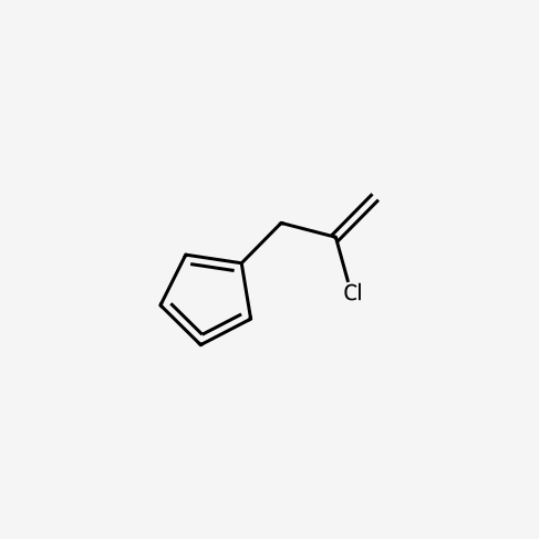 C=C(Cl)CC1=CC=C=C1